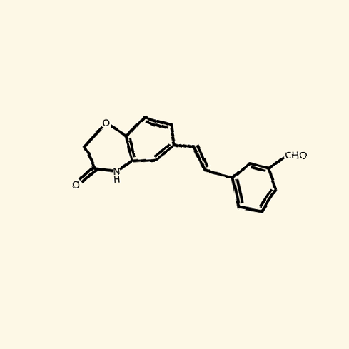 O=Cc1cccc(C=Cc2ccc3c(c2)NC(=O)CO3)c1